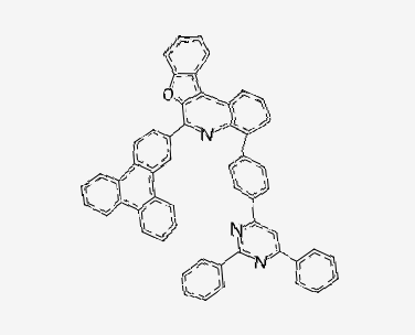 c1ccc(-c2cc(-c3ccc(-c4cccc5c4nc(-c4ccc6c7ccccc7c7ccccc7c6c4)c4oc6ccccc6c45)cc3)nc(-c3ccccc3)n2)cc1